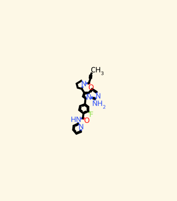 CC#CC(=O)N1CCCC1c1cc(-c2ccc(C(=O)Nc3ccccn3)c(F)c2)n2c(N)nccc12